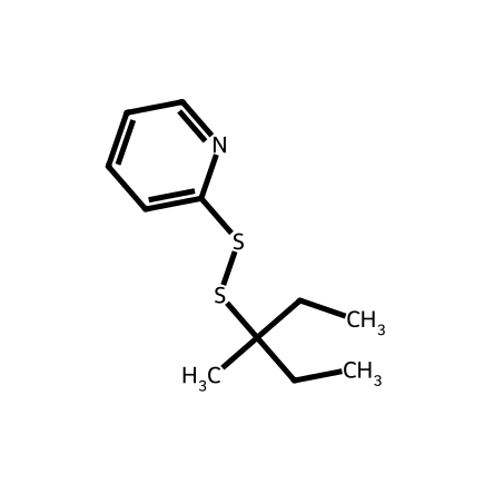 CCC(C)(CC)SSc1ccccn1